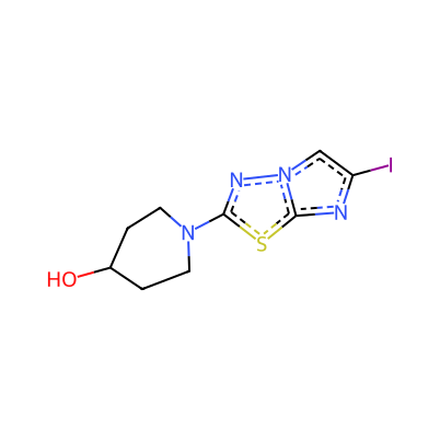 OC1CCN(c2nn3cc(I)nc3s2)CC1